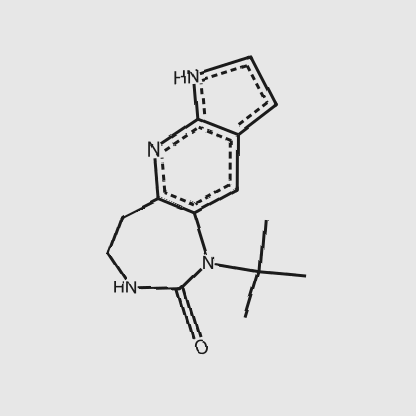 CC(C)(C)N1C(=O)NCCc2nc3[nH]ccc3cc21